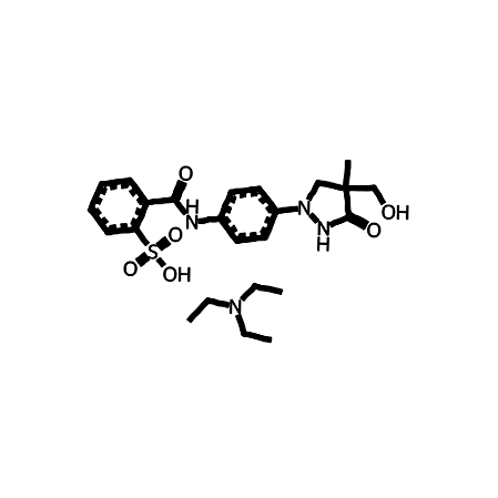 CC1(CO)CN(c2ccc(NC(=O)c3ccccc3S(=O)(=O)O)cc2)NC1=O.CCN(CC)CC